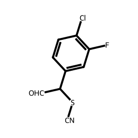 N#CSC(C=O)c1ccc(Cl)c(F)c1